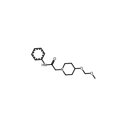 COCOC1CCN(CC(=O)Nc2ccccc2)CC1